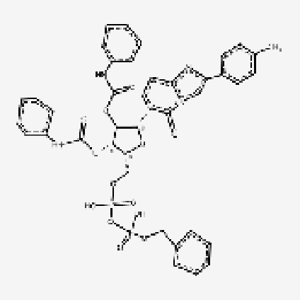 Cc1ccc(-c2cn3c(=O)n([C@@H]4O[C@H](COP(=O)(O)OP(=O)(O)OCc5ccccc5)[C@H](OC(=O)Nc5ccccc5)C4OC(=O)Nc4ccccc4)ccc3n2)cc1